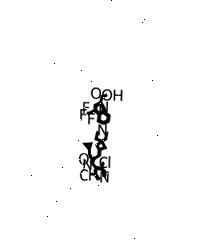 O=C(O)c1cc(C(F)(F)F)c2cc(N3CCC4(CC3)CC(=Cc3c(-c5c(Cl)cncc5Cl)noc3C3CC3)C4)ccc2n1